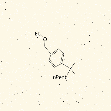 CCCCCC(C)(C)c1ccc(COCC)cc1